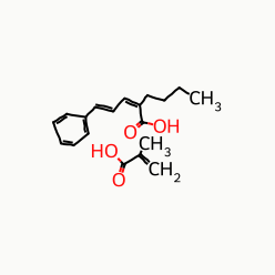 C=C(C)C(=O)O.CCCCC(=CC=Cc1ccccc1)C(=O)O